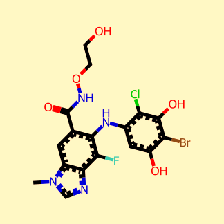 Cn1cnc2c(F)c(Nc3cc(O)c(Br)c(O)c3Cl)c(C(=O)NOCCO)cc21